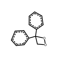 c1ccc(C2(c3ccccc3)COO2)cc1